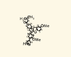 COc1cccc(CN2C(=O)N(c3ncc(-c4cn[nH]c4)c(OC)n3)CC23CCN(C(=O)CN(C)C)CC3)c1